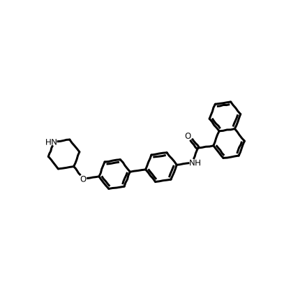 O=C(Nc1ccc(-c2ccc(OC3CCNCC3)cc2)cc1)c1cccc2ccccc12